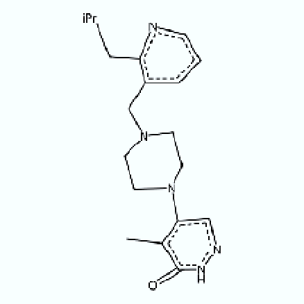 Cc1c(N2CCN(Cc3cccnc3CC(C)C)CC2)cn[nH]c1=O